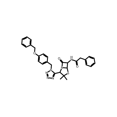 CC1(C)SC2C(NC(=O)Cc3ccccc3)C(=O)N2C1c1nnnn1Cc1ccc(OCc2ccccc2)cc1